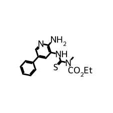 CCOC(=O)N(C)C(=S)Nc1cc(-c2ccccc2)cnc1N